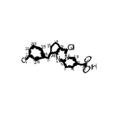 O=C(O)c1ccc2nc3c(c(=O)n2c1)CCC3=Cc1cccc(Cl)c1